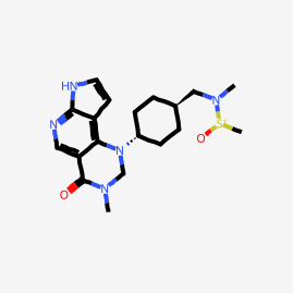 CN1CN([C@H]2CC[C@H](CN(C)[S+](C)[O-])CC2)c2c(cnc3[nH]ccc23)C1=O